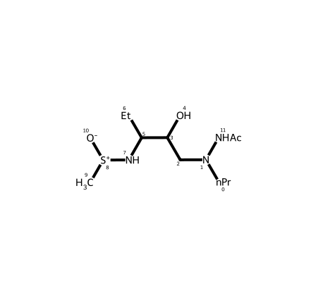 CCCN(CC(O)C(CC)N[S+](C)[O-])NC(C)=O